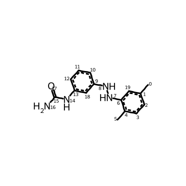 Cc1ccc(C)c(NNc2cccc(NC(N)=O)c2)c1